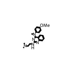 COc1ccc(N(C)c2nc(NCCN(C)C)nc3ccccc23)cc1